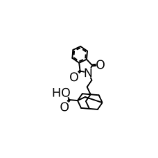 O=C1c2ccccc2C(=O)N1CCC12CC3CC(C1)CC(C(=O)O)(C3)C2